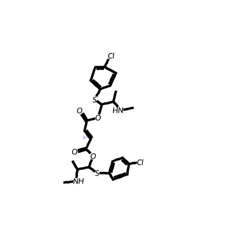 CNC(C)C(OC(=O)/C=C/C(=O)OC(Sc1ccc(Cl)cc1)C(C)NC)Sc1ccc(Cl)cc1